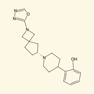 Oc1ccccc1C1CCN([C@@H]2CCC3(C2)CN(c2nnco2)C3)CC1